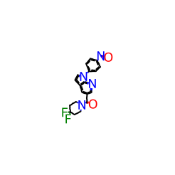 O=Nc1ccc(-n2ccc3cc(C(=O)N4CCC(F)(F)CC4)cnc32)cc1